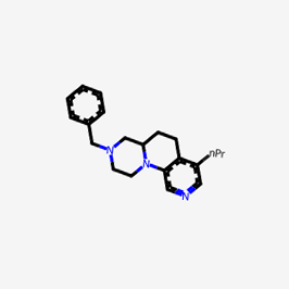 CCCc1cncc2c1CCC1CN(Cc3ccccc3)CCN21